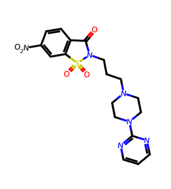 O=C1c2ccc([N+](=O)[O-])cc2S(=O)(=O)N1CCCN1CCN(c2ncccn2)CC1